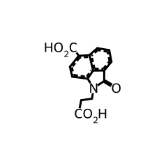 O=C(O)CCN1C(=O)c2cccc3c(C(=O)O)ccc1c23